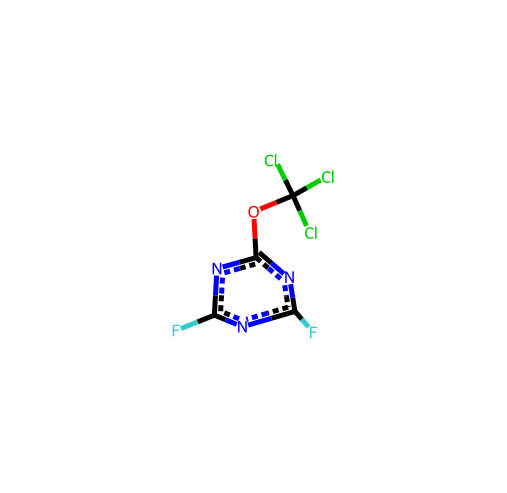 Fc1nc(F)nc(OC(Cl)(Cl)Cl)n1